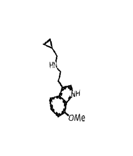 COc1cccc2c(CCNCC3CC3)c[nH]c12